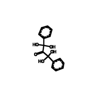 O=C(C(O)(O)c1ccccc1)C(O)(O)c1ccccc1